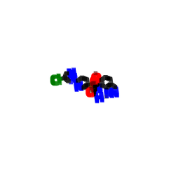 COc1ccc2cnn(C)c2c1NS(=O)(=O)c1ccc(-n2cc(Cl)cn2)nc1